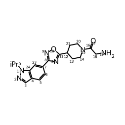 CC(C)n1ncc2ccc(-c3noc(C4CCN(C(=O)CN)CC4)n3)cc21